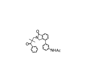 CC(=O)Nc1cccc(-c2cccc3c2CN(CC(C)(C)C(=O)c2ccccc2)C3=O)c1